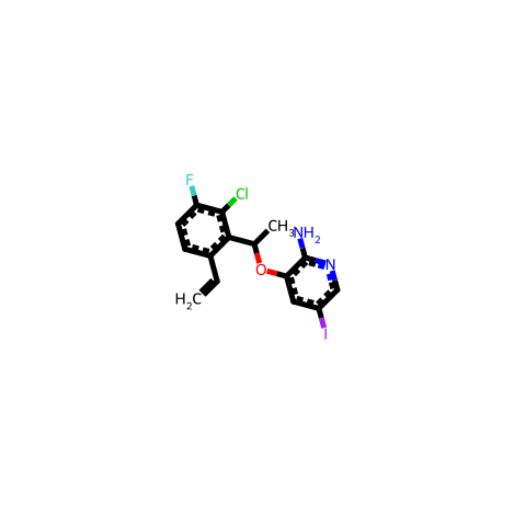 C=Cc1ccc(F)c(Cl)c1C(C)Oc1cc(I)cnc1N